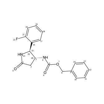 O=C1C[C@@H](NC(=O)OCc2ccccc2)[C@H](c2ccccc2F)N1